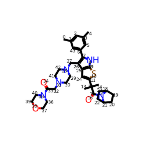 Cc1cc(C)cc(-c2[nH]c3sc(C(C)(C)C(=O)N4C5CCC4CC5)cc3c2CN2CCN(CC(=O)N3CCOCC3)CC2)c1